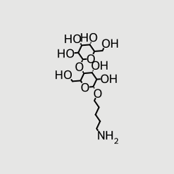 NCCCCCO[C@@H]1OC(CO)[C@@H](O[C@@H]2OC(CO)[C@@H](O)[C@H](O)C2O)[C@H](O)C1O